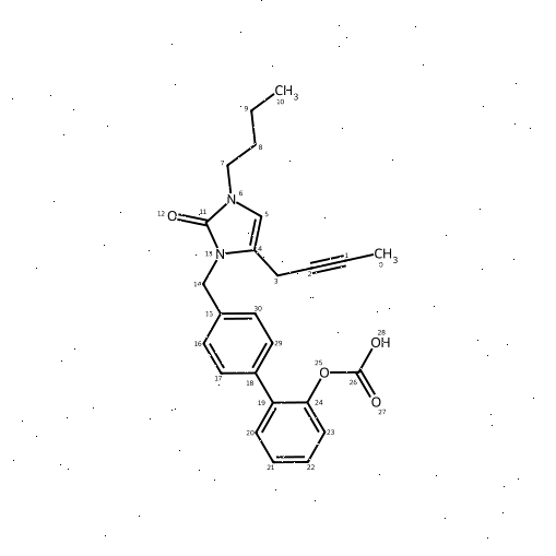 CC#CCc1cn(CCCC)c(=O)n1Cc1ccc(-c2ccccc2OC(=O)O)cc1